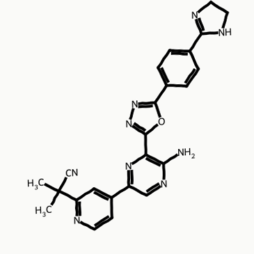 CC(C)(C#N)c1cc(-c2cnc(N)c(-c3nnc(-c4ccc(C5=NCCN5)cc4)o3)n2)ccn1